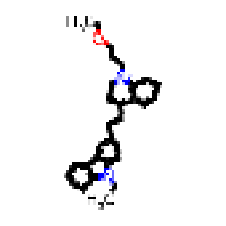 CCOCCC[n+]1ccc(C=Cc2ccc3c(c2)c2ccccc2n3CC)c2ccccc21